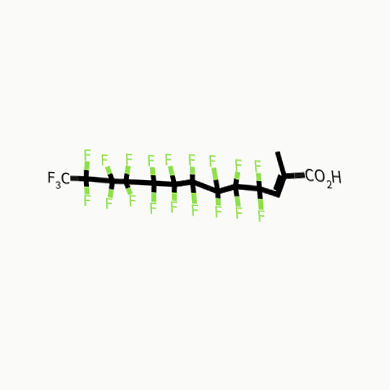 CC(=CC(F)(F)C(F)(F)C(F)(F)C(F)(F)C(F)(F)C(F)(F)C(F)(F)C(F)(F)C(F)(F)C(F)(F)F)C(=O)O